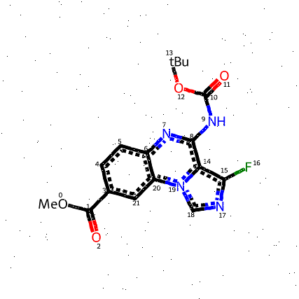 COC(=O)c1ccc2nc(NC(=O)OC(C)(C)C)c3c(F)ncn3c2c1